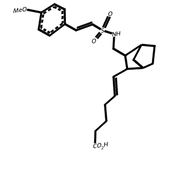 COc1ccc(C=CS(=O)(=O)NCC2C3CCC(C3)C2C=CCCCC(=O)O)cc1